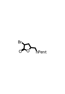 CCCCCCC1CC(Br)C(=O)O1